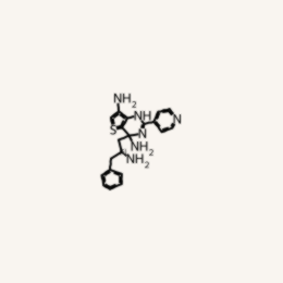 Nc1csc2c1NC(c1ccncc1)=NC2(N)C[C@@H](N)Cc1ccccc1